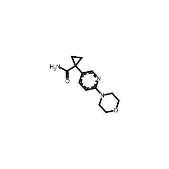 NC(=O)C1(c2ccc(N3CCOCC3)nc2)CC1